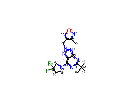 Cc1nonc1Cn1nc2nc(C(C)(C)C)nc(N3CCC(F)(F)C3)c2n1